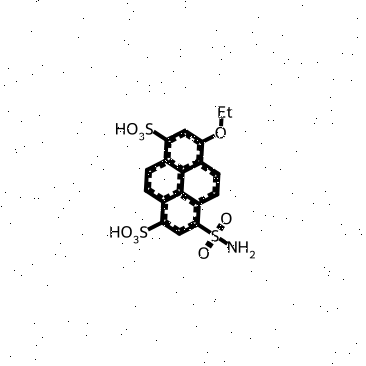 CCOc1cc(S(=O)(=O)O)c2ccc3c(S(=O)(=O)O)cc(S(N)(=O)=O)c4ccc1c2c43